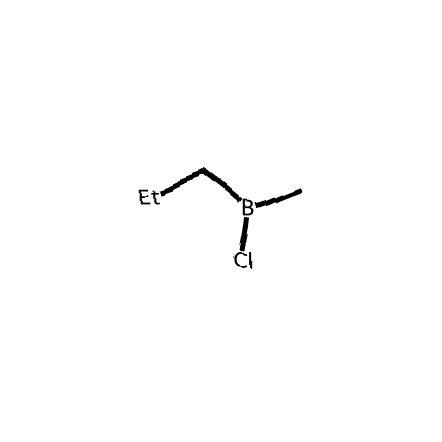 CCCB(C)Cl